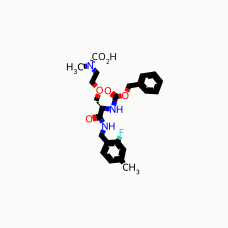 Cc1ccc(CNC(=O)[C@H](COCCN(C)C(=O)O)NC(=O)OCc2ccccc2)c(F)c1